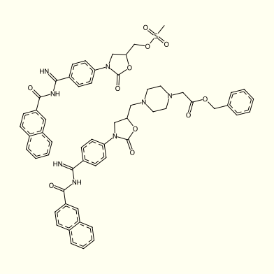 CS(=O)(=O)OCC1CN(c2ccc(C(=N)NC(=O)c3ccc4ccccc4c3)cc2)C(=O)O1.N=C(NC(=O)c1ccc2ccccc2c1)c1ccc(N2CC(CN3CCN(CC(=O)OCc4ccccc4)CC3)OC2=O)cc1